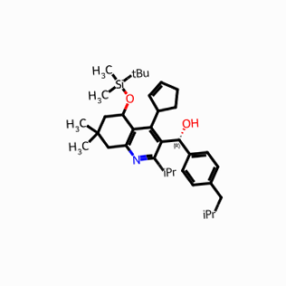 CC(C)Cc1ccc([C@@H](O)c2c(C(C)C)nc3c(c2C2C=CCC2)C(O[Si](C)(C)C(C)(C)C)CC(C)(C)C3)cc1